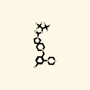 O=C(OC(C(F)(F)F)C(F)(F)F)N1CCC2(CCN(Cc3ccc(Cl)cc3N3CCOCC3)CC2)C1